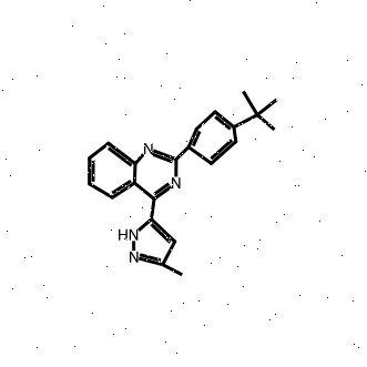 Cc1cc(-c2nc(-c3ccc(C(C)(C)C)cc3)nc3ccccc23)[nH]n1